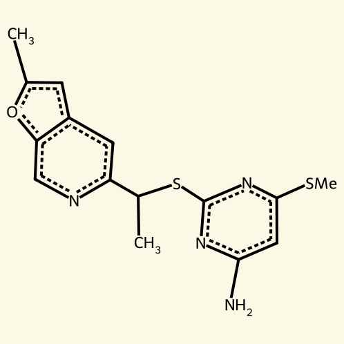 CSc1cc(N)nc(SC(C)c2cc3cc(C)oc3cn2)n1